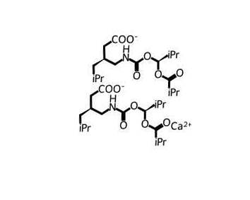 CC(C)C[C@H](CNC(=O)O[C@H](OC(=O)C(C)C)C(C)C)CC(=O)[O-].CC(C)C[C@H](CNC(=O)O[C@H](OC(=O)C(C)C)C(C)C)CC(=O)[O-].[Ca+2]